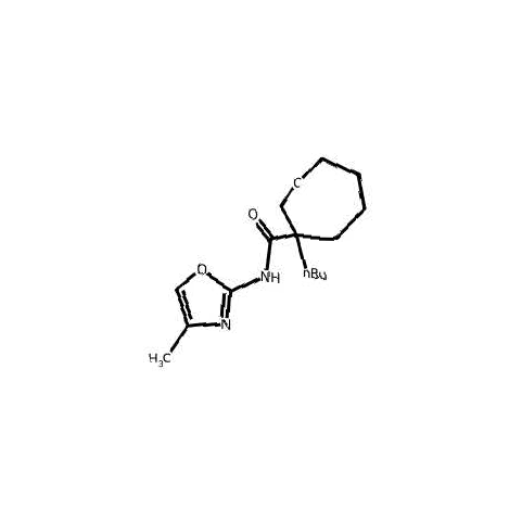 CCCCC1(C(=O)Nc2nc(C)co2)CCCCCC1